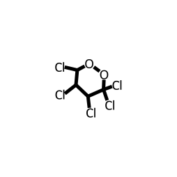 ClC1OOC(Cl)(Cl)C(Cl)C1Cl